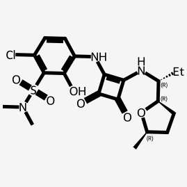 CC[C@@H](Nc1c(Nc2ccc(Cl)c(S(=O)(=O)N(C)C)c2O)c(=O)c1=O)[C@H]1CC[C@@H](C)O1